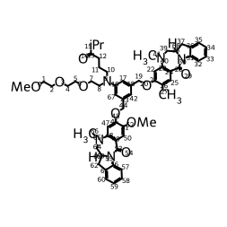 COCCOCCOCCN(CCCC(=O)C(C)C)c1cc(COc2cc3c(cc2C)C(=O)N2c4ccccc4C[C@H]2CN3C)cc(COc2cc3c(cc2OC)C(=O)N2c4ccccc4C[C@H]2CN3C)c1